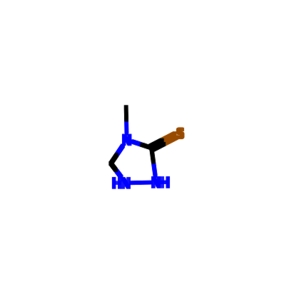 CN1CNNC1=S